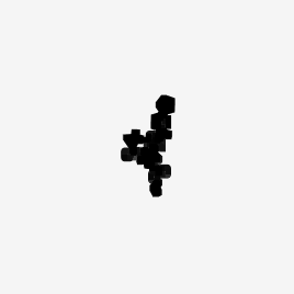 C=CCOC(=O)N1CC(c2noc(C(C)n3ccc(C4CCCC4)n3)n2)C2(C1)CN(C(=O)[C@H]1CC1(C)C)C2